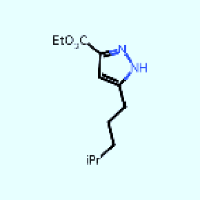 CCOC(=O)c1cc(CCCC(C)C)[nH]n1